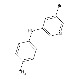 Cc1ccc(Nc2cncc(Br)c2)cc1